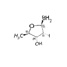 B[C@@H]1O[C@H](C)[C@@H](O)[C@H]1I